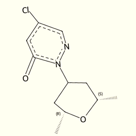 C[C@@H]1CC(n2ncc(Cl)cc2=O)C[C@H](C)O1